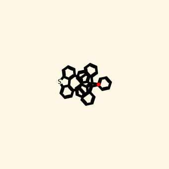 Cc1c2ccccc2c(-c2cccc3sc4cccc(-c5c6ccccc6c(-c6ccccc6)c6ccccc56)c4c23)c2ccccc12